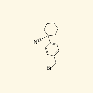 N#CC1(c2ccc(CBr)cc2)CCCCC1